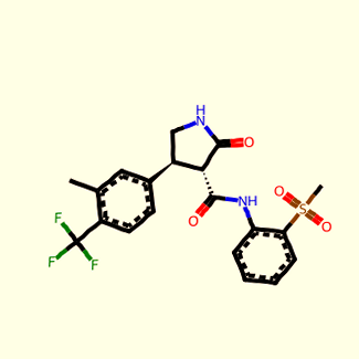 Cc1cc([C@H]2CNC(=O)[C@@H]2C(=O)Nc2ccccc2S(C)(=O)=O)ccc1C(F)(F)F